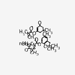 CCCCOC(=O)N(C)SN(C)C(=O)Oc1cccc2c1OC(C)(C)C2.CN(C)C(=O)OC1=CC(=O)CC(C)(C)C1